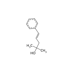 CC(C)(O)C/C=C/c1ccccc1